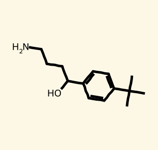 CC(C)(C)c1ccc(C(O)CCCN)cc1